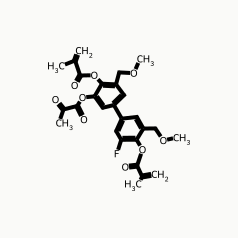 C=C(C)C(=O)Oc1c(F)cc(-c2cc(COC)c(OC(=O)C(=C)C)c(OC(=O)C(C)=O)c2)cc1COC